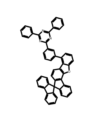 c1ccc(-c2nc(-c3ccccc3)nc(-c3cccc(-c4cccc5oc6c7c(ccc6c45)C4(c5ccccc5-c5ccccc54)c4ccccc4-7)c3)n2)cc1